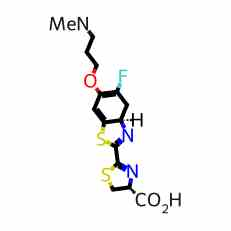 CNCCCOC1=C(F)C[C@H]2N=C(C3=N[C@@H](C(=O)O)CS3)SC2=C1